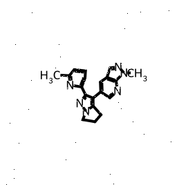 Cc1cccc(-c2nn3c(c2-c2cnc4c(cnn4C)c2)CCC3)n1